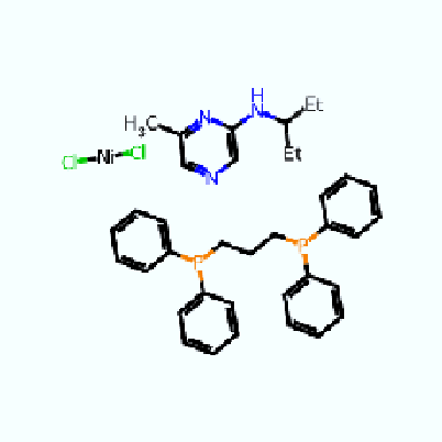 CCC(CC)Nc1cncc(C)n1.[Cl][Ni][Cl].c1ccc(P(CCCP(c2ccccc2)c2ccccc2)c2ccccc2)cc1